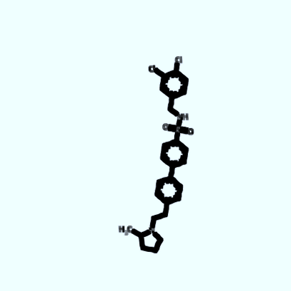 CC1CCCN1CCc1ccc(-c2ccc(S(=O)(=O)NCc3ccc(Cl)c(Cl)c3)cc2)cc1